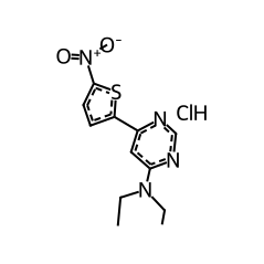 CCN(CC)c1cc(-c2ccc([N+](=O)[O-])s2)ncn1.Cl